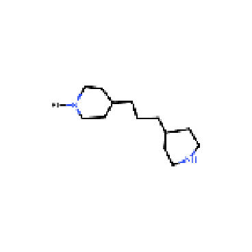 CCN1CCC(CCCC2CCNCC2)CC1